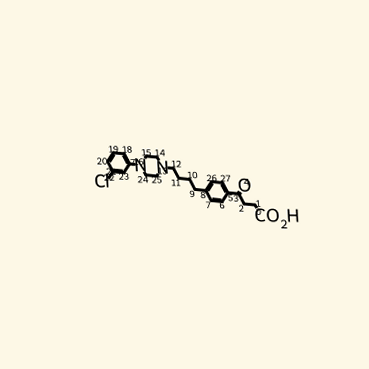 O=C(O)CCC(=O)c1ccc(CCCCN2CCN(c3cccc(Cl)c3)CC2)cc1